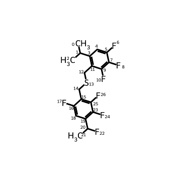 CC(C)c1cc(F)c(F)c(F)c1CSCc1c(F)cc(C(C)F)c(F)c1F